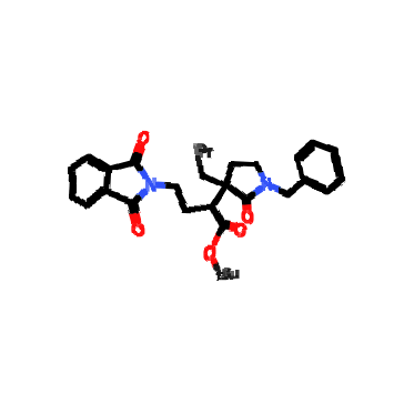 CC(C)CC1(C(CCN2C(=O)c3ccccc3C2=O)C(=O)OC(C)(C)C)CCN(Cc2ccccc2)C1=O